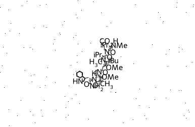 CC[C@H](C)[C@@H]([C@@H](CC(=O)N1CCC[C@H]1[C@H](OC)[C@@H](C)C(=O)N[C@@H](Cc1c[nH]c2ccccc12)C(N)=O)OC)N(C)[C@H](C(=O)N(CCCC(=O)O)C(=O)[C@@H](NC)C(C)C)C(C)C